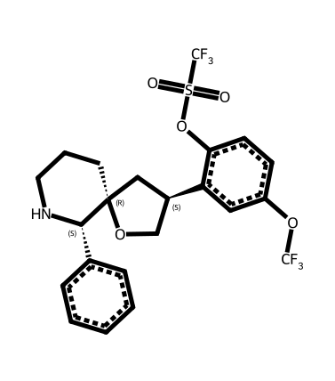 O=S(=O)(Oc1ccc(OC(F)(F)F)cc1[C@H]1CO[C@]2(CCCN[C@H]2c2ccccc2)C1)C(F)(F)F